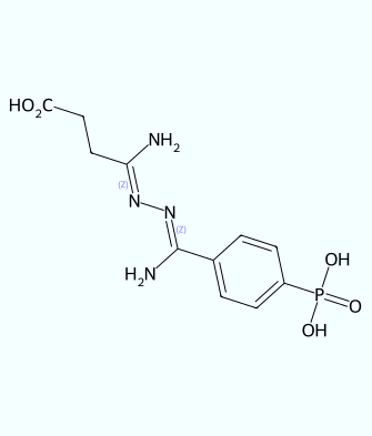 N/C(CCC(=O)O)=N\N=C(/N)c1ccc(P(=O)(O)O)cc1